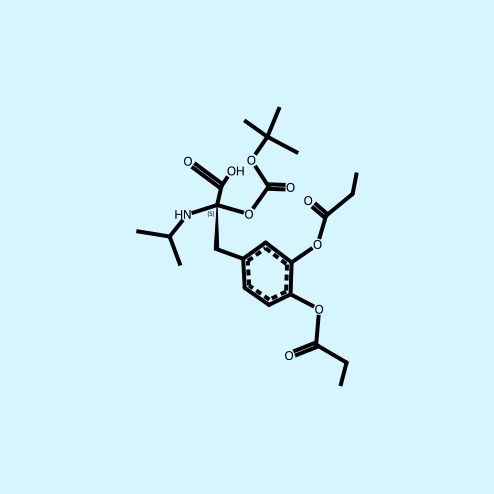 CCC(=O)Oc1ccc(C[C@](NC(C)C)(OC(=O)OC(C)(C)C)C(=O)O)cc1OC(=O)CC